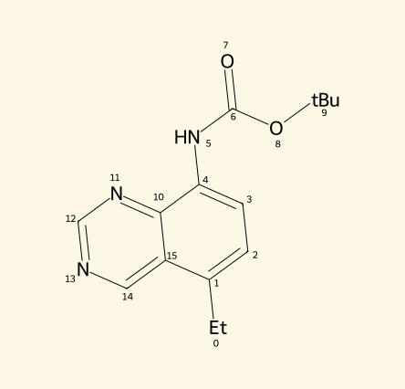 CCc1ccc(NC(=O)OC(C)(C)C)c2ncncc12